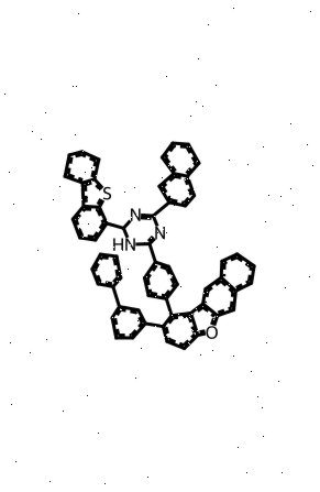 c1ccc(-c2cccc(-c3ccc4oc5cc6ccccc6cc5c4c3-c3ccc(C4=NC(c5ccc6ccccc6c5)=NC(c5cccc6c5sc5ccccc56)N4)cc3)c2)cc1